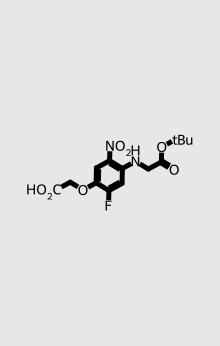 CC(C)(C)OC(=O)CNc1cc(F)c(OCC(=O)O)cc1[N+](=O)[O-]